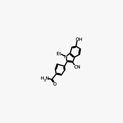 CCn1c(-c2ccc(C(N)=O)cc2)c(C#N)c2ccc(O)cc21